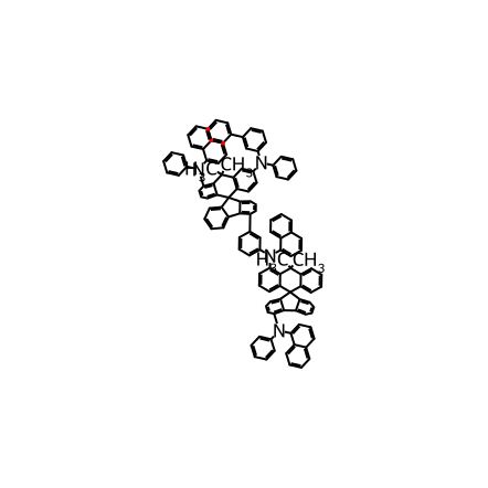 CC1(C)c2cc(N(c3ccccc3)c3cccc(-c4ccccc4)c3)ccc2C2(c3ccccc3-c3c(-c4cccc(N(c5cccc6c5C(C)(C)c5ccccc5C65c6ccccc6-c6c(N(c7ccccc7)c7cccc8ccccc78)cccc65)c5cccc6ccccc56)c4)cccc32)c2cccc(N(c3ccccc3)c3cccc4ccccc34)c21